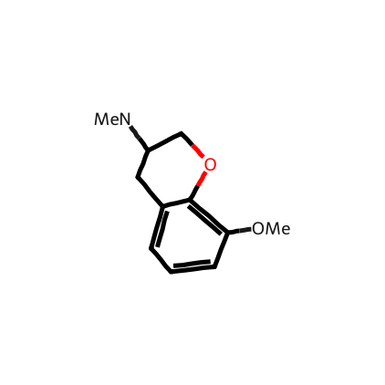 CNC1COc2c(cccc2OC)C1